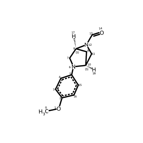 COc1ccc(N2C[C@@H]3C[C@H]2CN3C=O)cc1